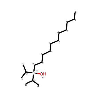 CCCCCCCCCCC[Si](O)(C(C)C)C(C)C